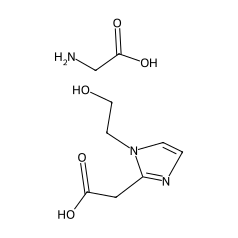 NCC(=O)O.O=C(O)Cc1nccn1CCO